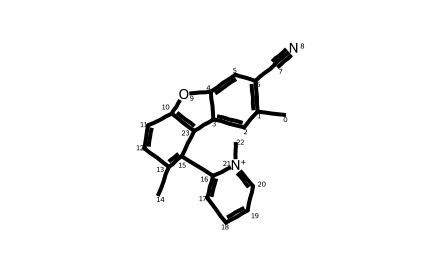 Cc1cc2c(cc1C#N)oc1ccc(C)c(-c3cccc[n+]3C)c12